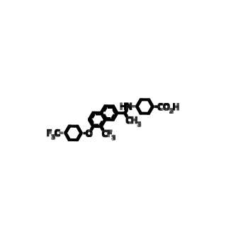 CC(N[C@H]1CC[C@H](C(=O)O)CC1)c1ccc2ccc(O[C@H]3CC[C@@H](C(F)(F)F)CC3)c(C(F)(F)F)c2c1